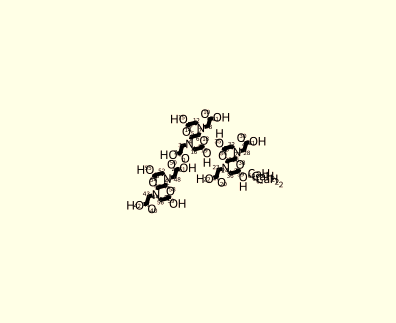 O=C(O)CN(CCN(CC(=O)O)CC(=O)O)CC(=O)O.O=C(O)CN(CCN(CC(=O)O)CC(=O)O)CC(=O)O.O=C(O)CN(CCN(CC(=O)O)CC(=O)O)CC(=O)O.[CaH2].[CaH2].[CaH2]